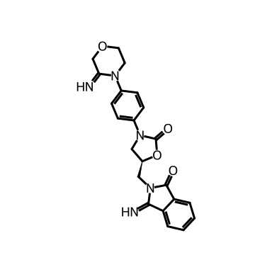 N=C1c2ccccc2C(=O)N1C[C@H]1CN(c2ccc(N3CCOCC3=N)cc2)C(=O)O1